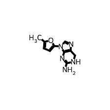 Cc1ccc(-n2cnc3c2N=C(N)NC3)o1